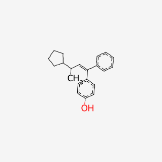 CC(/C=C(/c1ccccc1)c1ccc(O)cc1)C1CCCC1